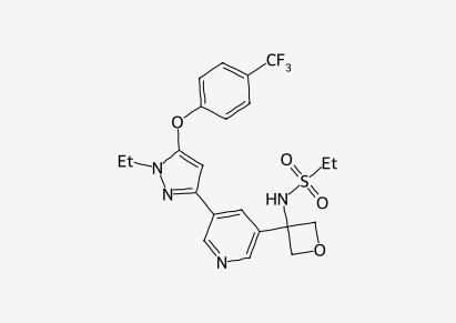 CCn1nc(-c2cncc(C3(NS(=O)(=O)CC)COC3)c2)cc1Oc1ccc(C(F)(F)F)cc1